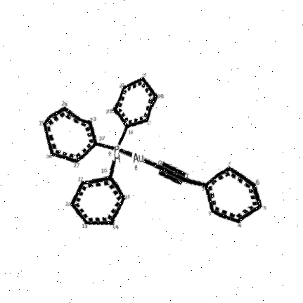 [C](#Cc1ccccc1)[Au][PH](c1ccccc1)(c1ccccc1)c1ccccc1